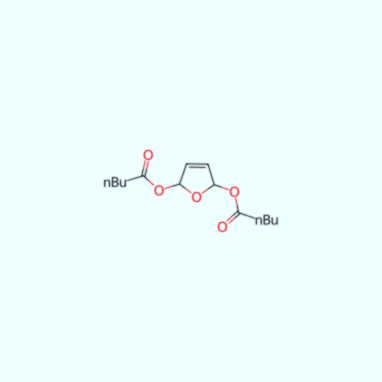 CCCCC(=O)OC1C=CC(OC(=O)CCCC)O1